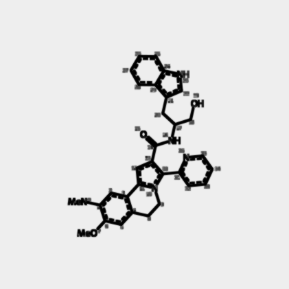 CNc1cc2c(cc1OC)CCn1c-2cc(C(=O)NC(CO)Cc2c[nH]c3ccccc23)c1-c1ccccn1